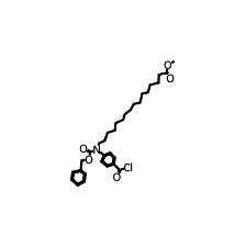 COC(=O)CCCCCCCCCCCCCCCN(C(=O)OCc1ccccc1)c1ccc(C(=O)Cl)cc1